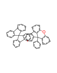 c1ccc(C2(c3ccccc3)c3ccccc3Oc3cccc(-c4ccc5c(c4)C4(c6ccccc6-c6ccccc64)c4ccccc4-5)c32)cc1